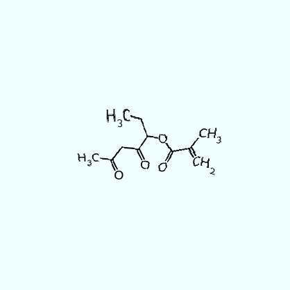 C=C(C)C(=O)OC(CC)C(=O)CC(C)=O